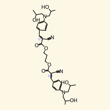 CC(O)CN(CC(C)O)c1ccc(/C=C(\C#N)C(=O)OCCCOC(=O)/C(C#N)=C/c2ccc(N(CC(C)O)CC(C)O)cc2)cc1